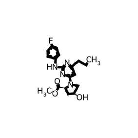 CCCc1cc(N2C[C@H](O)C[C@H]2C(=O)OC)nc(Nc2ccc(F)cc2)n1